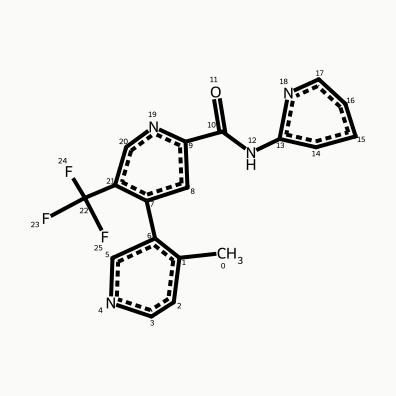 Cc1ccncc1-c1cc(C(=O)Nc2ccccn2)ncc1C(F)(F)F